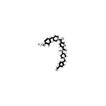 COc1ccc(CC2CCN(C(=O)c3ccc(C(=O)NC4CCN(Cc5ccc(C#N)cc5)CC4)nc3)CC2)cc1F